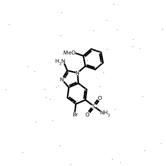 COc1ccccc1-n1c(N)nc2cc(Br)c(S(N)(=O)=O)cc21